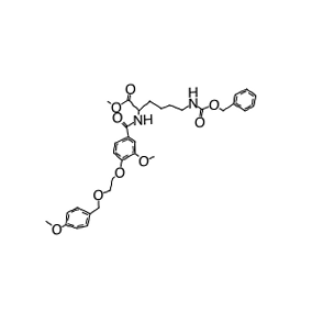 COC(=O)C(CCCCNC(=O)OCc1ccccc1)NC(=O)c1ccc(OCCOCc2ccc(OC)cc2)c(OC)c1